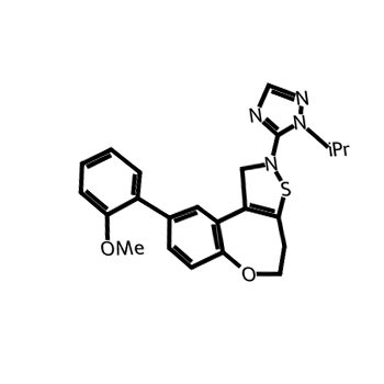 COc1ccccc1-c1ccc2c(c1)C1=C(CCO2)SN(c2ncnn2C(C)C)C1